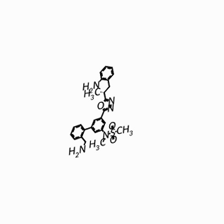 C[C@H](Cc1ccccc1N)c1nnc(-c2cc(-c3ccccc3CN)cc(N(C)S(C)(=O)=O)c2)o1